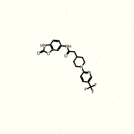 O=C(CC1CCN(c2ccc(C(F)(F)F)cn2)CC1)Nc1ccc2[nH]c(=O)oc2c1